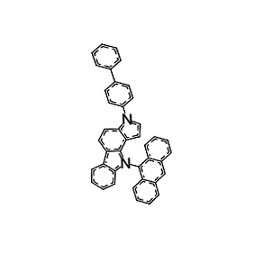 c1ccc(-c2ccc(-n3ccc4c3ccc3c5ccccc5n(-c5c6ccccc6cc6ccccc56)c34)cc2)cc1